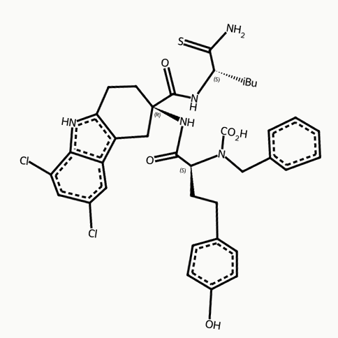 CCC(C)[C@H](NC(=O)[C@@]1(NC(=O)[C@H](CCc2ccc(O)cc2)N(Cc2ccccc2)C(=O)O)CCc2[nH]c3c(Cl)cc(Cl)cc3c2C1)C(N)=S